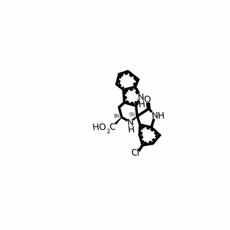 O=C(O)[C@H]1Cc2c([nH]c3ccccc23)[C@]2(N1)C(=O)Nc1ccc(Cl)cc12